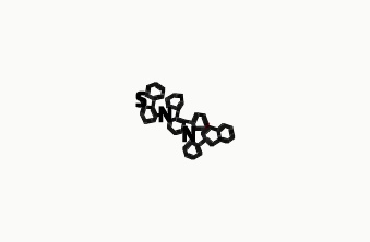 c1ccc(-n2c3ccccc3c3c4c5ccccc5n(-c5cccc6sc7ccccc7c56)c4ccc32)c(-c2ccc3ccccc3c2)c1